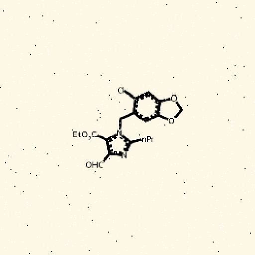 CCCc1nc(C=O)c(C(=O)OCC)n1Cc1cc2c(cc1Cl)OCO2